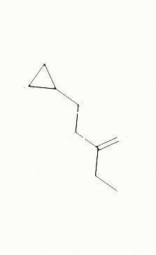 CCC(=O)CCC1CC1